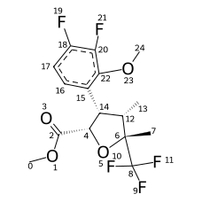 COC(=O)[C@H]1O[C@@](C)(C(F)(F)F)[C@@H](C)[C@H]1c1ccc(F)c(F)c1OC